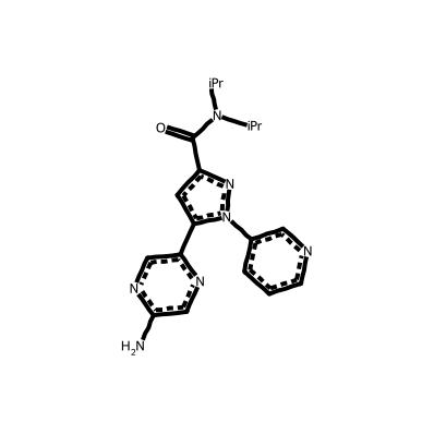 CC(C)N(C(=O)c1cc(-c2cnc(N)cn2)n(-c2cccnc2)n1)C(C)C